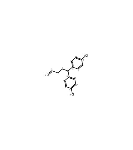 O=PCCC(c1ccc(Cl)cc1)c1ccc(Cl)cc1